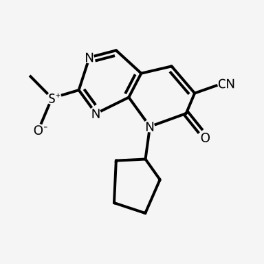 C[S+]([O-])c1ncc2cc(C#N)c(=O)n(C3CCCC3)c2n1